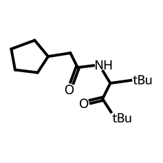 CC(C)(C)C(=O)C(NC(=O)CC1CCCC1)C(C)(C)C